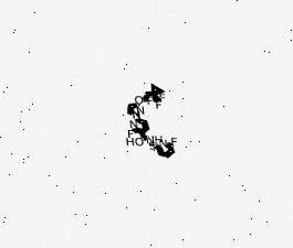 OC(NSc1cccc(F)n1)c1ccc(-n2ccc(OCCC3(C(F)(F)F)CC3)n2)nc1F